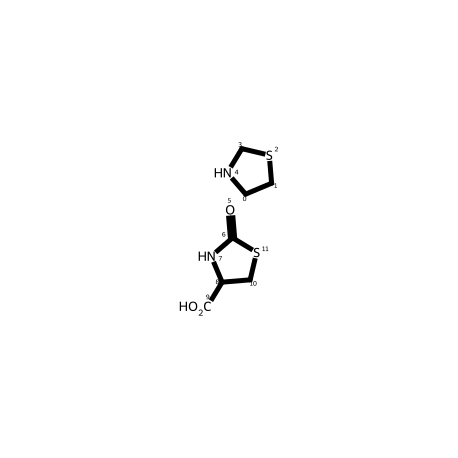 C1CSCN1.O=C1NC(C(=O)O)CS1